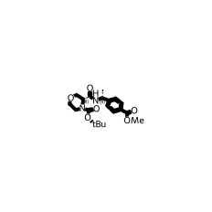 COC(=O)c1ccc([C@@H](C)NC(=O)[C@H]2COCCN2C(=O)OC(C)(C)C)cc1